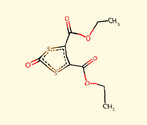 CCOC(=O)c1sc(=O)sc1C(=O)OCC